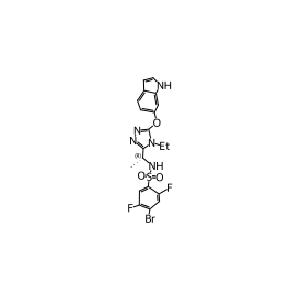 CCn1c(Oc2ccc3cc[nH]c3c2)nnc1[C@@H](C)NS(=O)(=O)c1cc(F)c(Br)cc1F